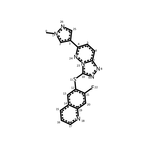 Cn1cc(-c2ccc3nnc(Sc4cc5cccnc5cc4F)n3n2)cn1